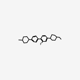 CCC1CCC(c2ccc(-c3ccc(C4CCC(C)CC4)cc3)c(F)c2)CC1